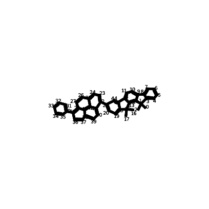 CC1(C)c2ccccc2-c2ccc3c(c21)C(C)(C)c1ccc(-c2ccc4ccc5c(-c6ccccc6)ccc6ccc2c4c65)cc1-3